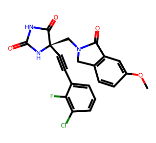 COc1ccc2c(c1)C(=O)N(C[C@@]1(C#Cc3cccc(Cl)c3F)NC(=O)NC1=O)C2